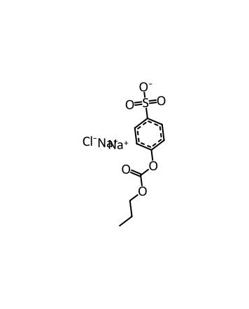 CCCOC(=O)Oc1ccc(S(=O)(=O)[O-])cc1.[Cl-].[Na+].[Na+]